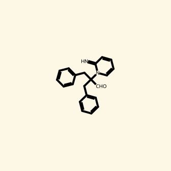 N=c1ccccn1C(C=O)(Cc1ccccc1)Cc1ccccc1